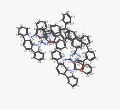 C1=CC2c3ccccc3N(c3ccc(-c4cccc(-c5cccc(-c6cccc(-c7cccc(C8=NC(n9c%10ccccc%10c%10ccc%11c%12ccccc%12n(-c%12ccc(-c%13ccccc%13)cc%12)c%11c%109)=NC(c9ccccc9)N8)c7)c6)c5)c4)cc3)C2c2c1c1ccccc1n2-c1nc(-c2ccccc2)nc(-c2cccc(-c3cc(-c4ccccc4)cc(-c4ccccc4)c3)c2)n1